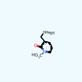 CCCCCCCCc1cccn(C(=O)O)c1=O